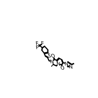 Cc1cn(-c2ccc3n(c2=O)C[C@@H](C)N(Cc2cc4c(s2)CCC(C(F)(F)F)C4)C3=O)cn1